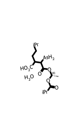 CC(C)CCC(C(=O)O)C([AsH2])C(=O)O[C@H](C)OC(=O)C(C)C.O